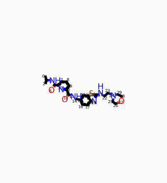 CC(C)NC(=O)c1cccc(C(=O)NCc2ccc3nc(NCCN4CCOCC4)sc3c2)n1